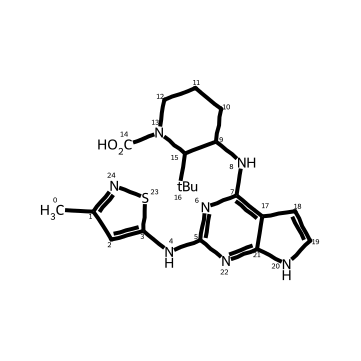 Cc1cc(Nc2nc(NC3CCCN(C(=O)O)C3C(C)(C)C)c3cc[nH]c3n2)sn1